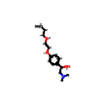 [CH2]N(C)CC(O)c1ccc(OCCOCCOC)cc1